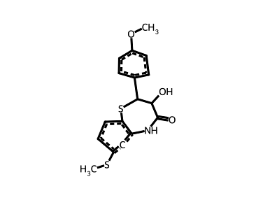 COc1ccc(C2Sc3ccc(SC)cc3NC(=O)C2O)cc1